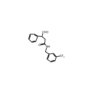 O=CC(CC(=O)NCc1cccc(C(F)(F)F)c1)c1ccccc1